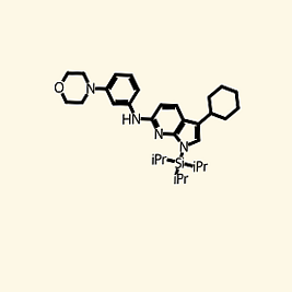 CC(C)[Si](C(C)C)(C(C)C)n1cc(C2CCCCC2)c2ccc(Nc3cccc(N4CCOCC4)c3)nc21